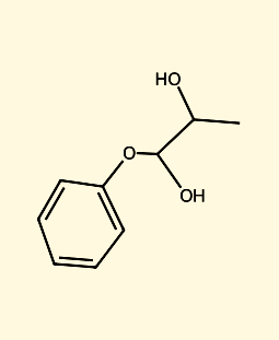 CC(O)C(O)Oc1ccccc1